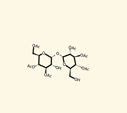 CC(=O)OC[C@H]1O[C@H](O[C@H]2O[C@H](CO)[C@@H](OC(C)=O)[C@H](OC(C)=O)[C@H]2OC(C)=O)[C@H](O)[C@@H](OC(C)=O)[C@@H]1OC(C)=O